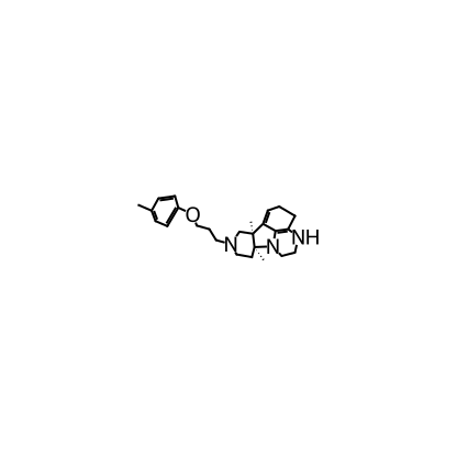 Cc1ccc(OCCCN2CC[C@]3(C)N4CCNC5=C4C(=CCC5)[C@]3(C)C2)cc1